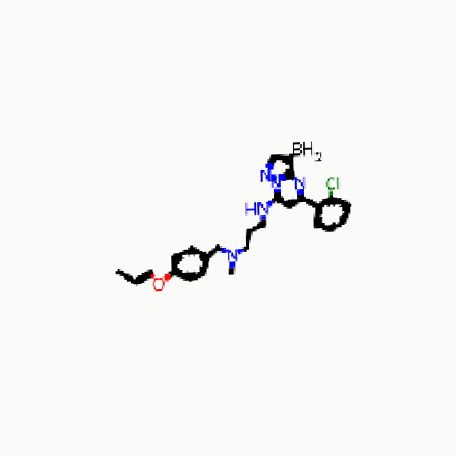 Bc1cnn2c(NCCCN(C)Cc3ccc(O/C=C/C)cc3)cc(-c3ccccc3Cl)nc12